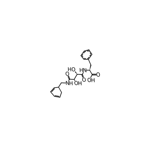 O=C(O)[C@H](Cc1ccccc1)NC(=O)[C@H](O)[C@@H](O)C(=O)NCC1C=CC=CC1